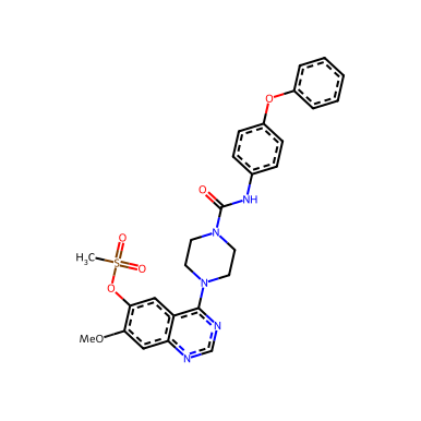 COc1cc2ncnc(N3CCN(C(=O)Nc4ccc(Oc5ccccc5)cc4)CC3)c2cc1OS(C)(=O)=O